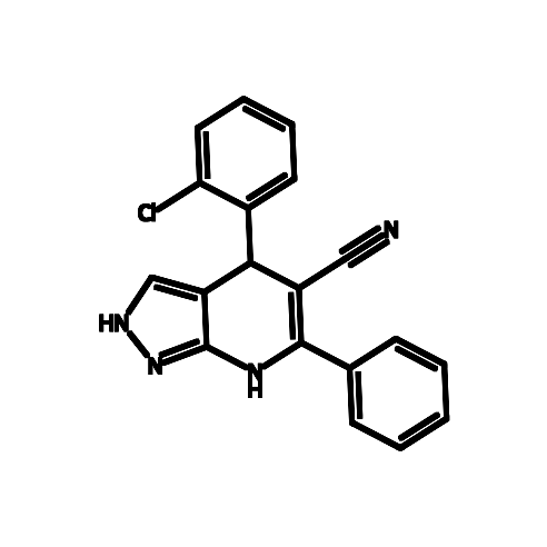 N#CC1=C(c2ccccc2)Nc2n[nH]cc2C1c1ccccc1Cl